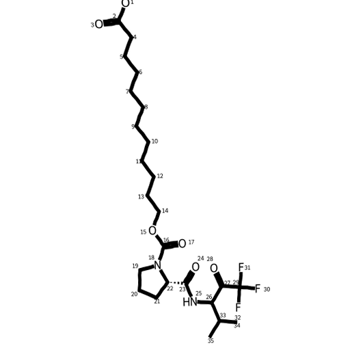 COC(=O)CCCCCCCCCCCOC(=O)N1CCC[C@H]1C(=O)NC(C(=O)C(F)(F)F)C(C)C